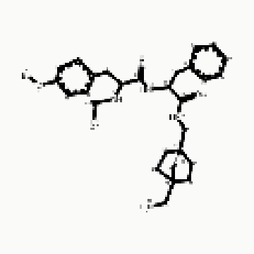 CCOc1ccc(CC(NC(=O)CC)C(=O)NC(Cc2ccccc2)C(=O)NCC23CCC(CN)(CC2)CC3)cc1